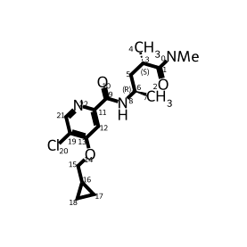 CNC(=O)[C@@H](C)C[C@@H](C)NC(=O)c1cc(OCC2CC2)c(Cl)cn1